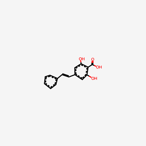 O=C(O)c1c(O)cc(/C=C/c2ccccc2)cc1O